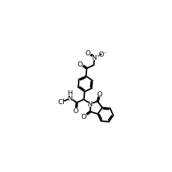 O=C(C[N+](=O)[O-])c1ccc(C(C(=O)NCl)N2C(=O)c3ccccc3C2=O)cc1